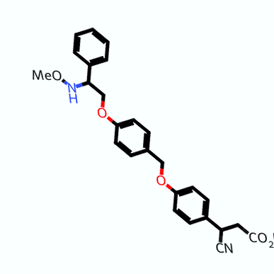 CONC(COc1ccc(COc2ccc(C(C#N)CC(=O)O)cc2)cc1)c1ccccc1